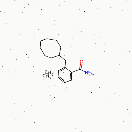 NC(=O)c1ccccc1C[C]1CCCCCCC1.[CH2].[CH2]